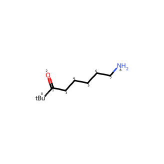 CC(C)(C)C(=O)CCCCCN